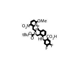 COc1ccc([N+](=O)[O-])c(CCN(Cc2c(Nc3cc(F)c(F)cc3C(=O)O)cccc2C(F)F)C(=O)OC(C)(C)C)n1